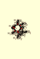 CCCCCC[C@H](N)C(=O)N[C@@H](CCNC(=O)OC(C)(C)C)C(=O)N[C@H](C(=O)N[C@@H](CCNC(=O)OC(C)(C)C)C(=O)N[C@H]1CCNC(=O)[C@H]([C@@H](C)O)NC(=O)[C@H](CCNC(=O)OC(C)(C)C)NC(=O)[C@H](CCNC(=O)OC(C)(C)C)NC(=O)[C@H](CC(C)C)NC(=O)[C@@H](Cc2ccccc2)NC(=O)[C@H](CCNC(=O)OC(C)(C)C)NC1=O)[C@@H](C)O